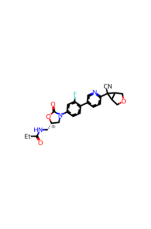 CCC(=O)NC[C@H]1CN(c2ccc(-c3ccc(C4(C#N)C5COCC54)nc3)c(F)c2)C(=O)O1